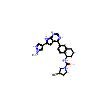 Cn1cc(-c2cc3c(-c4ccc5c(c4)CCCC5NC(=O)N4CCC(C(C)(C)C)C4)ncnc3[nH]2)cn1